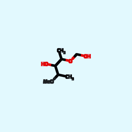 COC(C)C(O)C(C)OCO